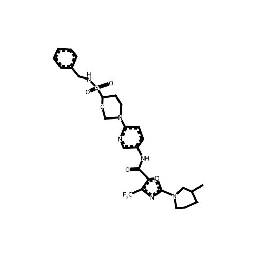 CC1CCCN(c2nc(C(F)(F)F)c(C(=O)Nc3ccc(N4CCC(S(=O)(=O)NCc5ccccc5)CC4)nc3)o2)C1